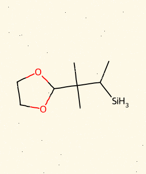 CC([SiH3])C(C)(C)C1OCCO1